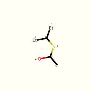 CCC(CC)SC(C)[O]